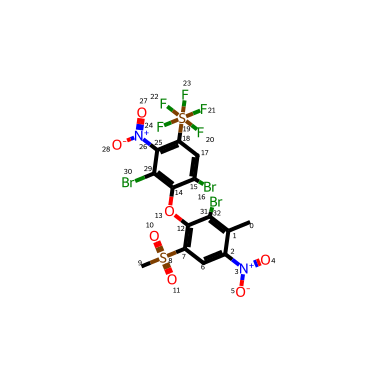 Cc1c([N+](=O)[O-])cc(S(C)(=O)=O)c(Oc2c(Br)cc(S(F)(F)(F)(F)F)c([N+](=O)[O-])c2Br)c1Br